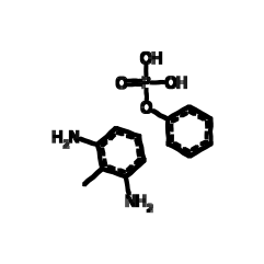 Cc1c(N)cccc1N.O=P(O)(O)Oc1ccccc1